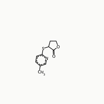 Cc1ccc(SC2CCOC2=O)nc1